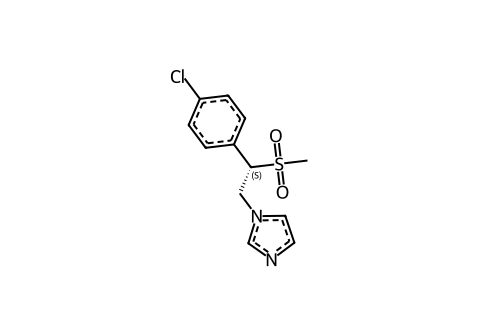 CS(=O)(=O)[C@H](Cn1ccnc1)c1ccc(Cl)cc1